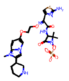 C[n+]1c(C2CCCNC2)cn2cc(OCCO/N=C(\C(=O)NC3C(=O)N(OS(=O)(=O)[O-])C3(C)C)c3csc(N)n3)ccc21